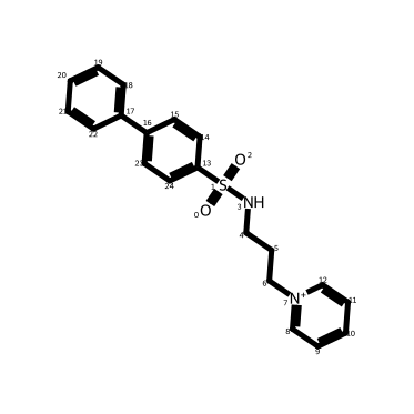 O=S(=O)(NCCC[n+]1ccccc1)c1ccc(-c2ccccc2)cc1